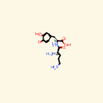 NCCC[C@H](N)C(=O)N[C@@H](Cc1ccc(O)c(=O)cc1)C(=O)O